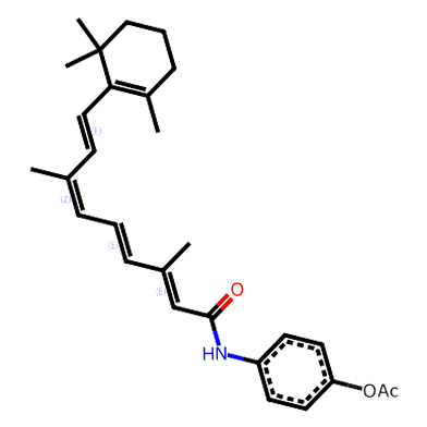 CC(=O)Oc1ccc(NC(=O)/C=C(C)/C=C/C=C(C)\C=C\C2=C(C)CCCC2(C)C)cc1